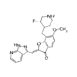 COc1ccc2c(c1CC1CCNC[C@H]1F)O/C(=C\c1n[nH]c3ncccc13)C2=O